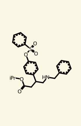 CC(C)OC(=O)CC(CNCc1ccccc1)c1ccc(OS(=O)(=O)c2ccccc2)cc1